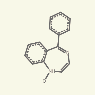 [O-][NH+]1C=CN=C(c2ccccc2)c2ccccc21